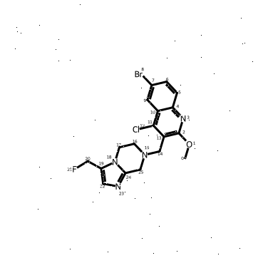 COc1nc2ccc(Br)cc2c(Cl)c1CN1CCn2c(CF)cnc2C1